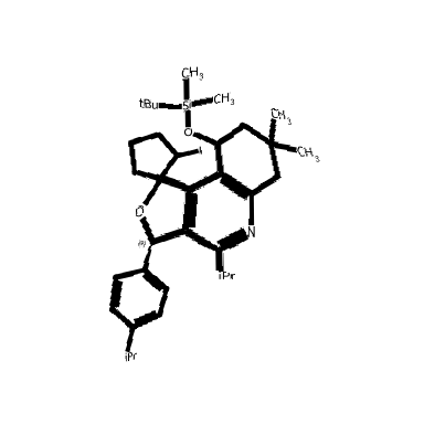 CC(C)c1ccc([C@H]2OC3(CCCC3I)c3c4c(nc(C(C)C)c32)CC(C)(C)CC4O[Si](C)(C)C(C)(C)C)cc1